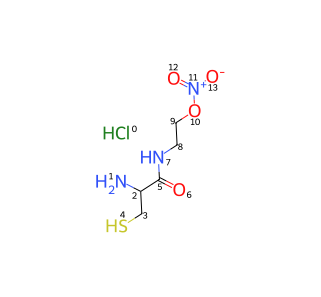 Cl.NC(CS)C(=O)NCCO[N+](=O)[O-]